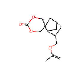 C=C(C)OCC1CC2CC1C1(COC(=O)OC1)C2